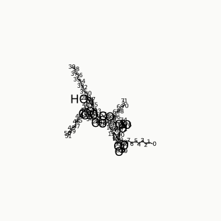 CCCCCCCCCCC(CN(CCCCC1OC(=O)C(CCCCN(C[C@H](O)CCCCCCCCCC)C[C@@H](CCCCCCCCCC)OS(C)(=O)=O)OC1=O)C[C@@H](CCCCCCCCCC)OS(C)(=O)=O)OS(C)(=O)=O